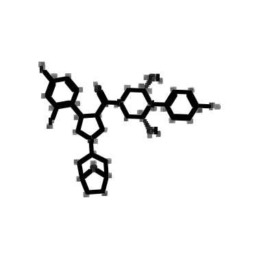 C[C@@H]1CN(C(=O)C2CN(C3CC4CCC(C3)O4)CC2c2ccc(F)cc2F)C[C@H](C)N1c1ccc(F)cc1